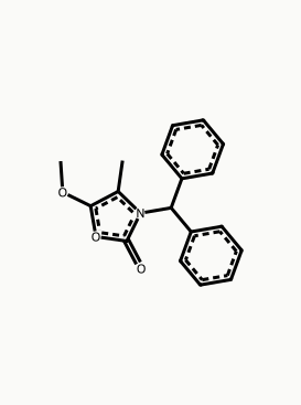 COc1oc(=O)n(C(c2ccccc2)c2ccccc2)c1C